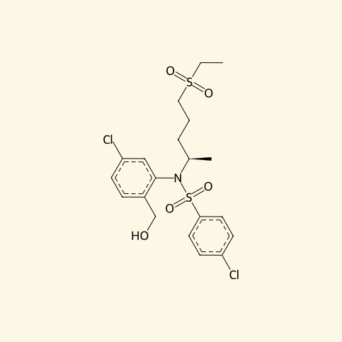 CCS(=O)(=O)CCC[C@@H](C)N(c1cc(Cl)ccc1CO)S(=O)(=O)c1ccc(Cl)cc1